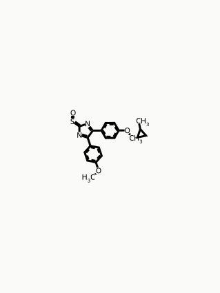 CC1CC1.COc1ccc(C2=NC(=S=O)N=C2c2ccc(OC)cc2)cc1